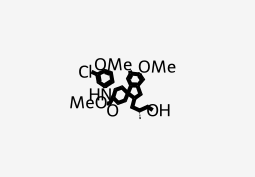 COC(=O)C1(Nc2cccc(Cl)c2)CCC2(CC1)c1cc(OC)c(OC)cc1CC2C[C@@H](C)CO